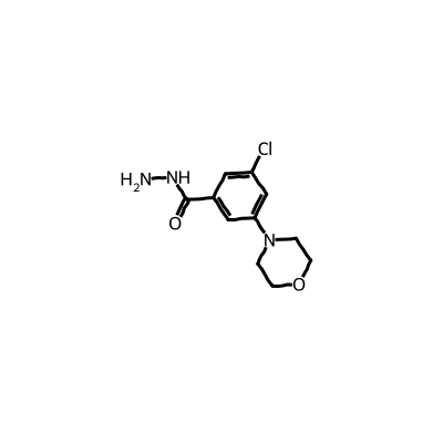 NNC(=O)c1cc(Cl)cc(N2CCOCC2)c1